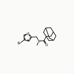 CN(Cc1cc(Br)cs1)C(=O)C12CC3CC(CC(C3)C1)C2